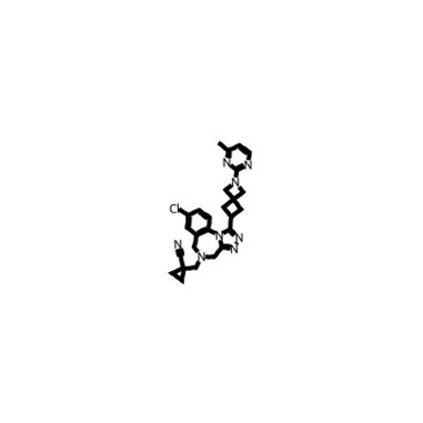 Cc1ccnc(N2CC3(CC(c4nnc5n4-c4ccc(Cl)cc4CN(CC4(C#N)CC4)C5)C3)C2)n1